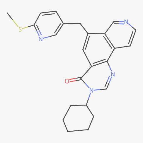 CSc1ccc(Cc2cc3c(=O)n(C4CCCCC4)cnc3c3ccncc23)cn1